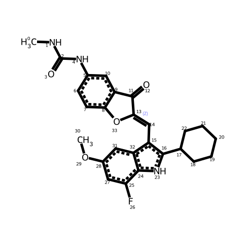 CNC(=O)Nc1ccc2c(c1)C(=O)/C(=C/c1c(C3CCCCC3)[nH]c3c(F)cc(OC)cc13)O2